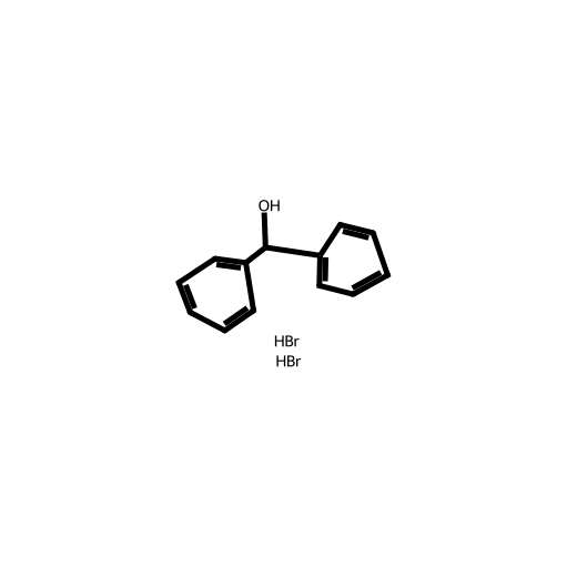 Br.Br.OC(c1ccccc1)c1ccccc1